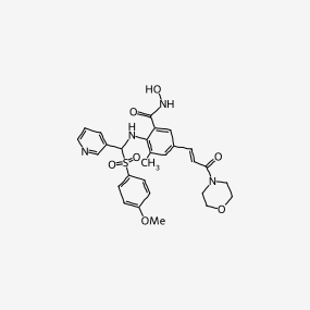 COc1ccc(S(=O)(=O)C(Nc2c(C)cc(C=CC(=O)N3CCOCC3)cc2C(=O)NO)c2cccnc2)cc1